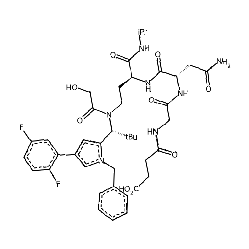 CC(C)NC(=O)[C@H](CCN(C(=O)CO)[C@@H](c1cc(-c2cc(F)ccc2F)cn1Cc1ccccc1)C(C)(C)C)NC(=O)[C@H](CC(N)=O)NC(=O)CNC(=O)CCC(=O)O